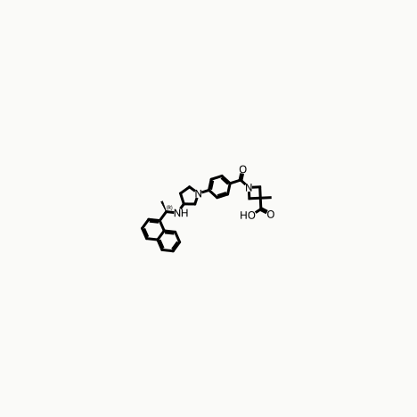 C[C@@H](NC1CCN(c2ccc(C(=O)N3CC(C)(C(=O)O)C3)cc2)C1)c1cccc2ccccc12